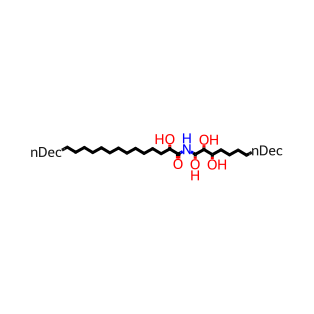 CCCCCCCCCCCCCCCCCCCCCCC(O)C(=O)NC(O)C(O)C(O)CCCCCCCCCCCCCC